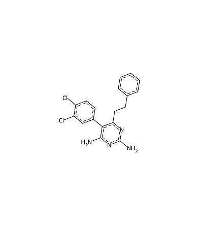 Nc1nc(N)c(-c2ccc(Cl)c(Cl)c2)c(CCc2ccccc2)n1